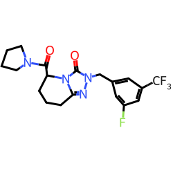 O=C(C1CCCc2nn(Cc3cc(F)cc(C(F)(F)F)c3)c(=O)n21)N1CCCC1